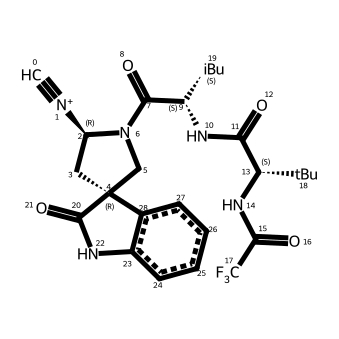 C#[N+][C@@H]1C[C@@]2(CN1C(=O)[C@@H](NC(=O)[C@@H](NC(=O)C(F)(F)F)C(C)(C)C)[C@@H](C)CC)C(=O)Nc1ccccc12